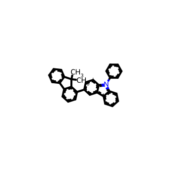 CC1(C)c2ccccc2-c2cccc(-c3c[c]c4c(c3)c3ccccc3n4-c3ccccc3)c21